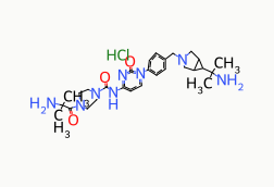 CC(C)(N)C(=O)N1CCN(C(=O)Nc2ccn(-c3ccc(CN4CC5C(C4)C5C(C)(C)N)cc3)c(=O)n2)CC1.Cl